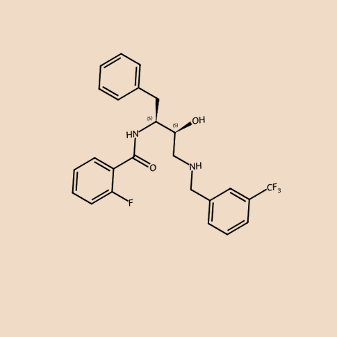 O=C(N[C@@H](Cc1ccccc1)[C@@H](O)CNCc1cccc(C(F)(F)F)c1)c1ccccc1F